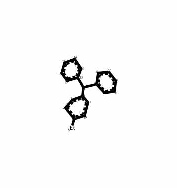 CCc1ccc(C(c2ccccc2)c2ccccc2)cc1